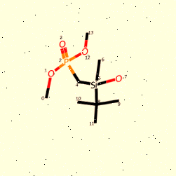 COP(=O)(C[Si](C)([O])C(C)(C)C)OC